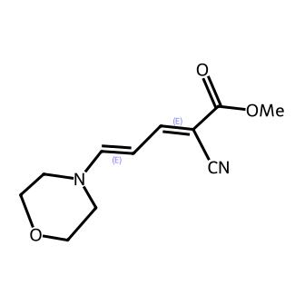 COC(=O)/C(C#N)=C/C=C/N1CCOCC1